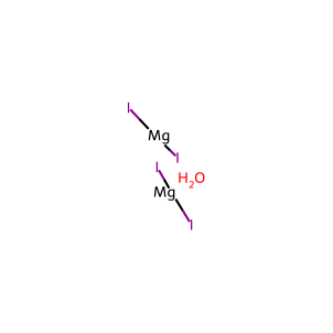 O.[I][Mg][I].[I][Mg][I]